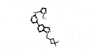 Cn1nccc1Nc1nccc(-c2ccc3c(c2)nnn3CC2CC(F)(F)C2)n1